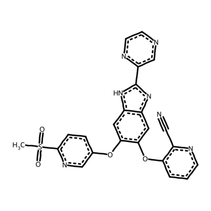 CS(=O)(=O)c1ccc(Oc2cc3[nH]c(-c4cnccn4)nc3cc2Oc2cccnc2C#N)cn1